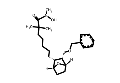 CN(O)C(=O)C(C)(C)CCCCC[C@@H]1[C@H](COCc2ccccc2)[C@@H]2CC[C@H]1O2